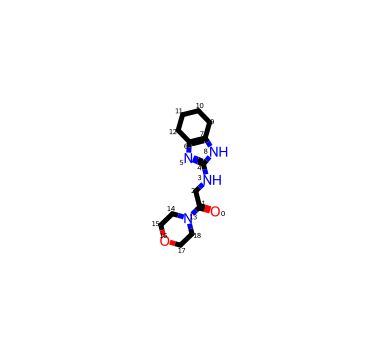 O=C(CNc1nc2c([nH]1)CCCC2)N1CCOCC1